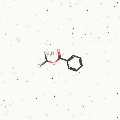 CCC(OC(=O)c1ccccc1)C(=O)O